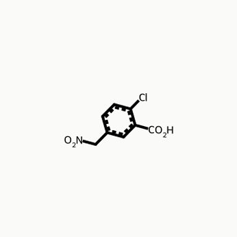 O=C(O)c1cc(C[N+](=O)[O-])ccc1Cl